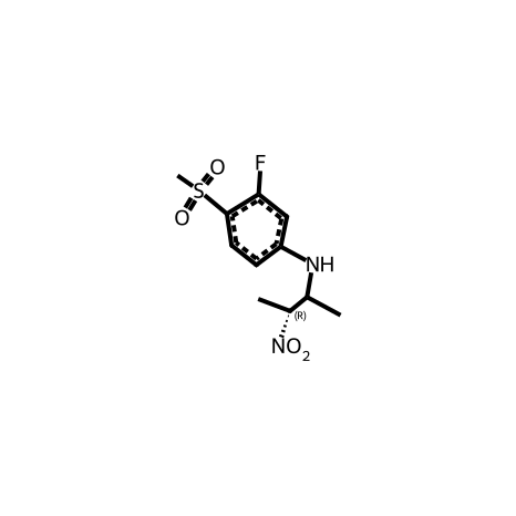 CC(Nc1ccc(S(C)(=O)=O)c(F)c1)[C@@H](C)[N+](=O)[O-]